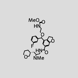 CN[C@H](CNC(=O)c1cc2c(c([C@H](OCCNC(=O)OC)c3cccc(F)c3)c1)CCO2)C[C@H]1CCCOC1